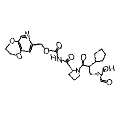 O=CN(O)CC(C(=O)N1CCC[C@H]1C(=O)NC(=O)OCc1cc2c(cn1)OCCO2)C1CCCC1